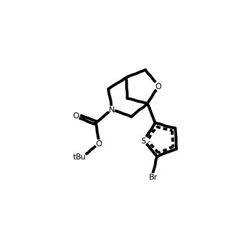 CC(C)(C)OC(=O)N1CC2COC(c3ccc(Br)s3)(C2)C1